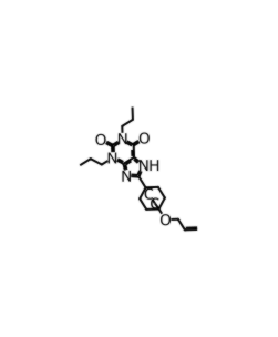 C=CCOC12CCC(c3nc4c([nH]3)c(=O)n(CCC)c(=O)n4CCC)(CC1)CC2